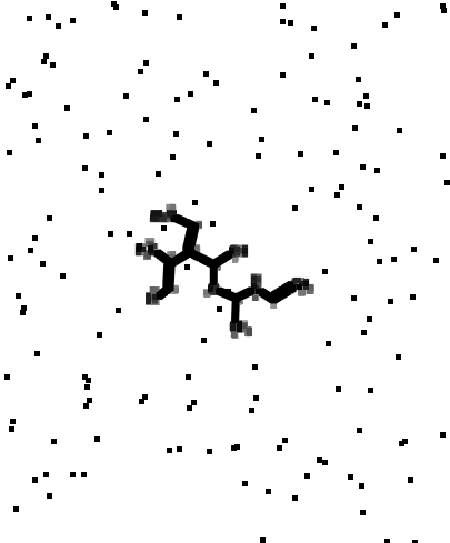 C=CNC(C)OC(O)C(=C/NC)/C(C)=C/CC